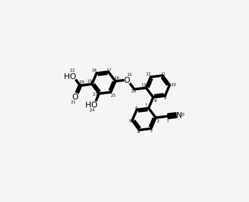 N#Cc1ccccc1-c1ccccc1COc1ccc(C(=O)O)c(O)c1